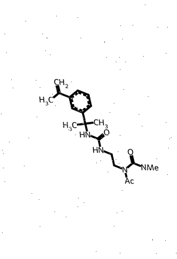 C=C(C)c1cccc(C(C)(C)NC(=O)NCCN(C(C)=O)C(=O)NC)c1